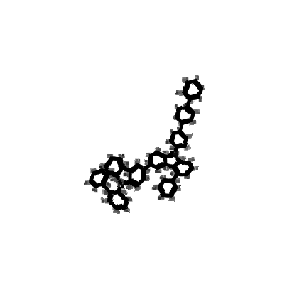 c1ccc(-c2ccc(-c3ccc(-n4c5ccc(-c6ccc7c(c6)c6ccccc6n7-c6ccccc6-c6ccccc6)cc5c5c(-c6ccccc6)cccc54)cc3)cc2)cc1